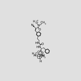 CCN(CC)C(=O)C(C#N)=Cc1cccc(CCNC(=O)N[C@@H](Cc2ccccc2)B2O[C@@H]3C[C@@H]4C[C@@H](C4(C)C)[C@]3(C)O2)c1